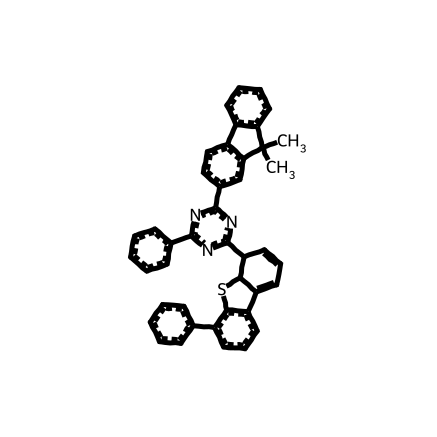 CC1(C)c2ccccc2-c2ccc(-c3nc(-c4ccccc4)nc(C4C=CC=C5c6cccc(-c7ccccc7)c6SC54)n3)cc21